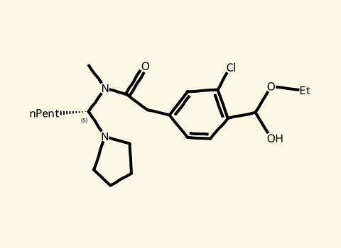 CCCCC[C@@H](N1CCCC1)N(C)C(=O)Cc1ccc(C(O)OCC)c(Cl)c1